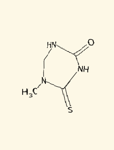 CN1CNC(=O)NC1=S